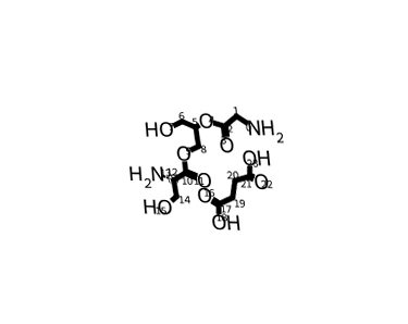 NCC(=O)OC(CO)COC(=O)[C@@H](N)CO.O=C(O)CCC(=O)O